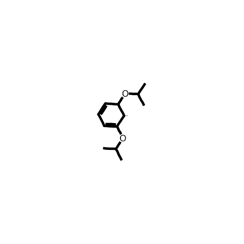 CC(C)OC1=CC=CC(OC(C)C)[CH]1